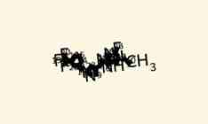 CCCN1C=c2[nH]c(-c3cnn(Cc4cccc(C(F)(F)F)c4)c3)nc2=NC1F